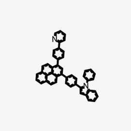 c1ccc(-n2c(-c3ccc(-c4cc(-c5ccc(-c6ccccn6)cc5)c5ccc6cccc7ccc4c5c67)cc3)cc3ccccc32)cc1